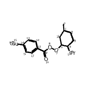 CC1CCC(C(C)C)[C](OOC(=O)c2ccc(C(C)(C)C)cc2)C1